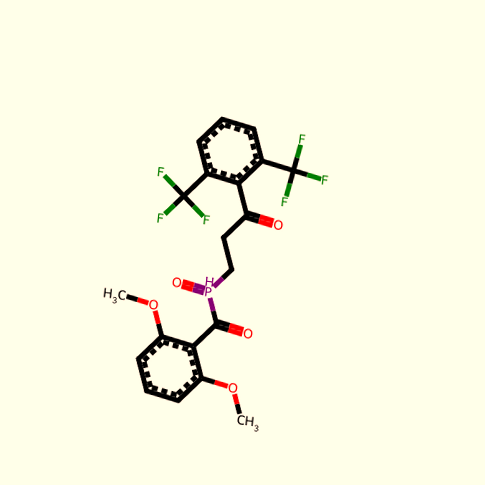 COc1cccc(OC)c1C(=O)[PH](=O)CCC(=O)c1c(C(F)(F)F)cccc1C(F)(F)F